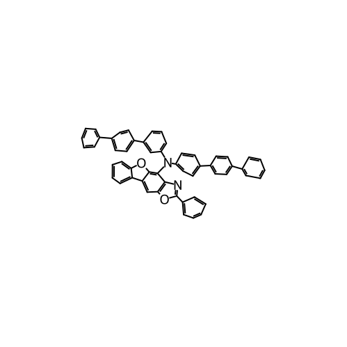 c1ccc(-c2ccc(-c3ccc(N(c4cccc(-c5ccc(-c6ccccc6)cc5)c4)c4c5nc(-c6ccccc6)oc5cc5c4oc4ccccc45)cc3)cc2)cc1